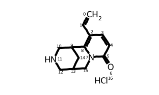 C=Cc1ccc(=O)n2c1C1CNCC(C1)C2.Cl